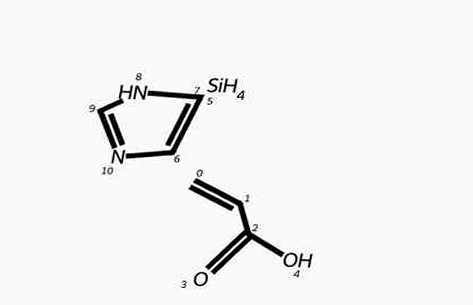 C=CC(=O)O.[SiH4].c1c[nH]cn1